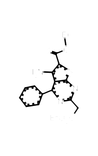 CCOC(=O)Cc1nc(-c2ccccc2)c2c(N)c(C(=S)OCC)sc2n1